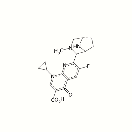 CN1CC2CCC(N2)C1c1nc2c(cc1F)c(=O)c(C(=O)O)cn2C1CC1